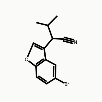 CC(C)C(C#N)c1coc2ccc(Br)cc12